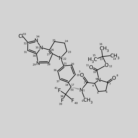 CN(C(=O)C1CCC(=O)N1C(=O)OC(C)(C)C)[C@@H](c1ccc(N2CCCc3c2cnc2cc(Cl)nn32)cc1)C(F)(F)F